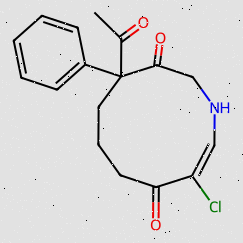 CC(=O)C1(c2ccccc2)CCCC(=O)C(Cl)=CNCC1=O